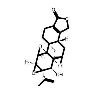 C=C(C)[C@]12O[C@H]1[C@@H]1O[C@]13[C@]1(O[C@H]1C[C@H]1C4=C(CC[C@@]13C)C(=O)OC4)[C@@H]2O